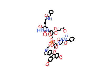 [C-]#[N+]CCOP(=O)(OC[C@H]1O[C@@H](n2cc(C#CCNC(=O)Cc3ccccc3)c(=O)[nH]c2=O)C[C@H]1OC(=O)CCC(C)=O)O[C@@H]1C[C@H](n2ccc(NC(=O)c3ccccc3)nc2=O)O[C@@H]1COC(c1ccccc1)(c1ccc(OC)cc1)c1ccc(OC)cc1